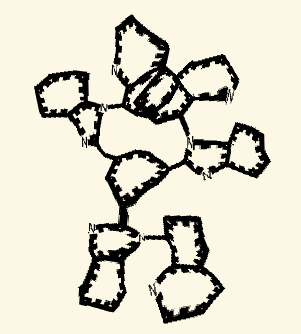 c1cnc2c(-n3c(-c4cc(-c5nc6ccccc6n5-c5cccc6cccnc56)cc(-c5nc6ccccc6n5-c5cccc6cccnc56)c4)nc4ccccc43)cccc2c1